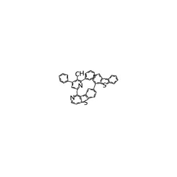 Cc1c(-c2ccccc2)cc(-c2nccc3sc4ccc(-c5cccc6c5sc5ccccc56)cc4c23)nc1-c1ccccc1